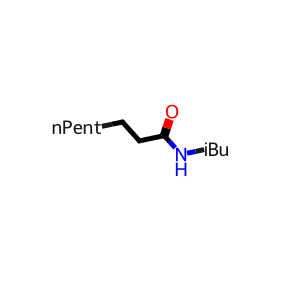 CCCCCCCC(=O)NC(C)CC